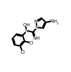 N=C(N(O)c1cccc(Cl)c1Cl)n1cc(N)cn1